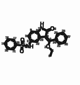 CCOC(=C1C(=O)Nc2ccc(NS(=O)(=O)c3ccccc3)cc21)c1ccccc1